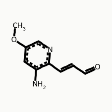 COc1cnc(/C=C/C=O)c(N)c1